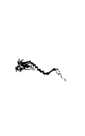 CCCCCCCCCCCCCCCCCC1=NCCN1C(C)(O)N1C=NCC1